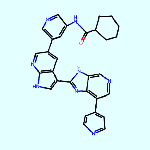 O=C(Nc1cncc(-c2cnc3[nH]cc(-c4nc5c(-c6ccncc6)cncc5[nH]4)c3c2)c1)C1CCCCC1